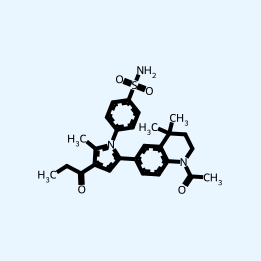 CCC(=O)c1cc(-c2ccc3c(c2)C(C)(C)CCN3C(C)=O)n(-c2ccc(S(N)(=O)=O)cc2)c1C